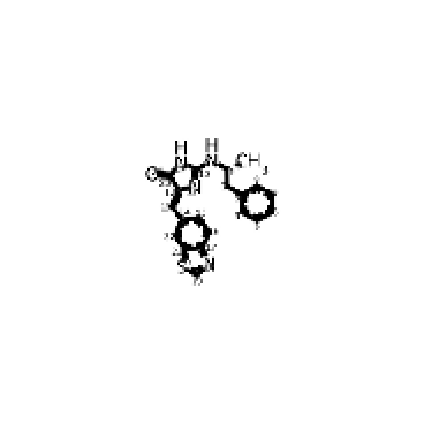 C[C@H](Cc1ccccc1)NC1=N/C(=C\c2ccc3ncsc3c2)C(=O)N1